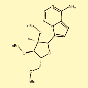 CCCCOC[C@H]1OC(c2ccc3c(N)ncnn23)[C@](C)(OCCCC)[C@@H]1OCCCC